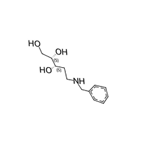 OC[C@H](O)[C@@H](O)CCNCc1ccccc1